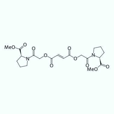 COC(=O)[C@@H]1CCCN1C(=O)COC(=O)/C=C/C(=O)OCC(=O)N1CCC[C@H]1C(=O)OC